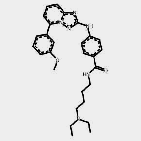 CCN(CC)CCCCNC(=O)c1ccc(Nc2nc3cccc(-c4cccc(OC)c4)n3n2)cc1